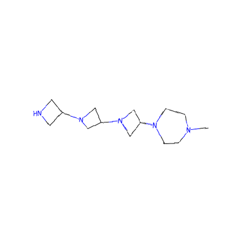 CN1CCN(C2CN(C3CN(C4CNC4)C3)C2)CC1